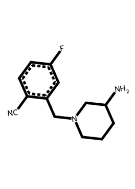 N#Cc1ccc(F)cc1CN1CCCC(N)C1